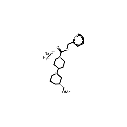 COC[C@@H]1CCCN(C2CCN(C(=O)OCc3ccccc3)CC2)C1.C[O-].[Na+]